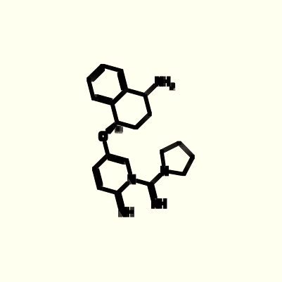 N=C(N1CCCC1)n1cc(O[C@@H]2CCC(N)c3ccccc32)ccc1=N